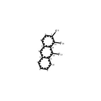 Fc1[c]cc2cc3cc[c]cc3c(F)c2c1F